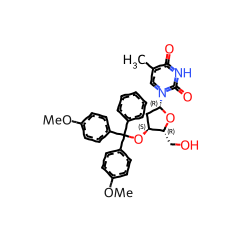 COc1ccc(C(O[C@H]2C[C@H](n3cc(C)c(=O)[nH]c3=O)O[C@@H]2CO)(c2ccccc2)c2ccc(OC)cc2)cc1